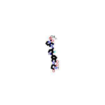 COC(=O)N1CCCC12CCN(Cc1ccnc(-c3ccc4c(c3)CN(C3CCC(=O)NC3=O)C4=O)c1F)C2